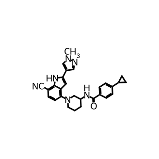 Cn1cc(-c2cc3c(N4CCCC(NC(=O)c5ccc(C6CC6)cc5)C4)ccc(C#N)c3[nH]2)cn1